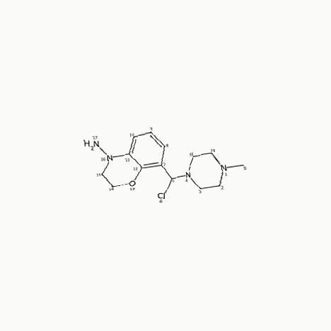 CN1CCN(C(Cl)c2cccc3c2OCCN3N)CC1